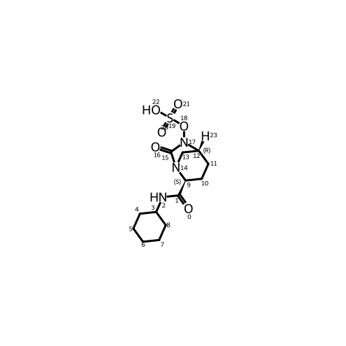 O=C(NC1CCCCC1)[C@@H]1CC[C@@H]2CN1C(=O)N2OS(=O)(=O)O